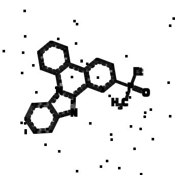 CCP(C)(=O)c1ccc2c3ccccc3n3c4ccccc4nc3c2c1